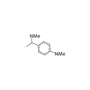 [CH2]C(NC)c1ccc(NC)cc1